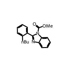 CCCCc1ccccc1-c1nc2ccccc2n1C(=O)OC